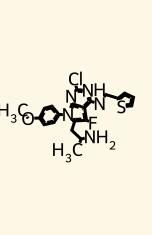 COc1ccc(-n2c(CC(C)N)c(F)c3c(NCc4cccs4)nc(Cl)nc32)cc1